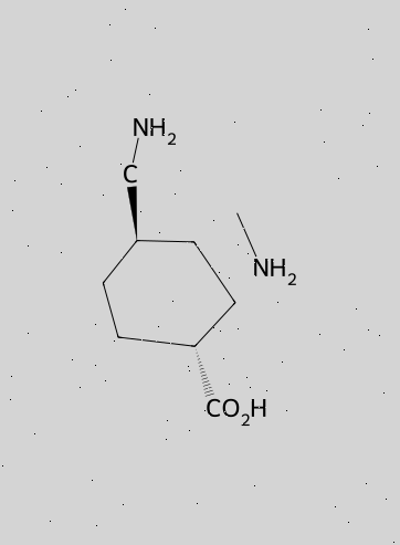 CN.NC[C@H]1CC[C@H](C(=O)O)CC1